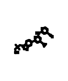 CC(C)(CO)Cn1cnc2cc(-c3cc(C4CC4)cc(Nc4cc(C#N)ccn4)n3)ccc21